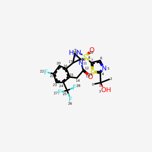 CC(C)(O)c1ncc([S@@](N)(=O)=NC(=O)Cc2c(C3CC3)cc(F)cc2C(F)(F)F)s1